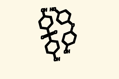 O=S(=O)(C1CCC(O)CC1)C1CCC(O)CC1.OC1CCC(OC2CCC(O)CC2)CC1